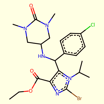 CCOC(=O)c1nc(Br)n(C(C)C)c1C(NC1CN(C)C(=O)N(C)C1)c1ccc(Cl)cc1